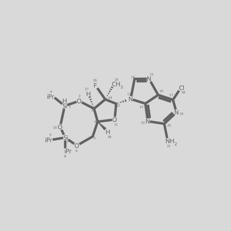 CC(C)[SiH]1O[C@@H]2[C@@H](CO[Si](C(C)C)(C(C)C)O1)O[C@@H](n1cnc3c(Cl)nc(N)nc31)[C@]2(C)F